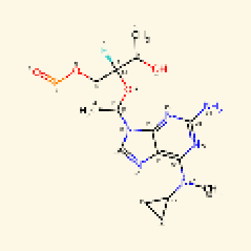 CC(O)[C@@](F)(COP=O)O[C@H](C)n1cnc2c(N(C)C3CC3)nc(N)nc21